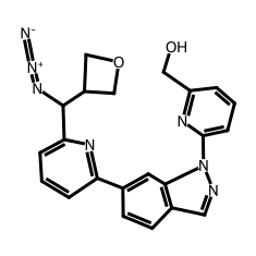 [N-]=[N+]=NC(c1cccc(-c2ccc3cnn(-c4cccc(CO)n4)c3c2)n1)C1COC1